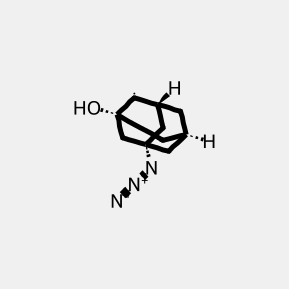 [N-]=[N+]=N[C@]12C[C@@H]3[CH][C@@](O)(C[C@@H](C3)C1)C2